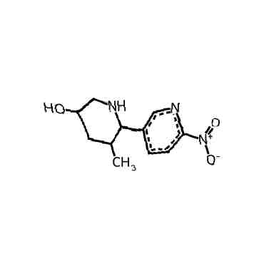 CC1CC(O)CNC1c1ccc([N+](=O)[O-])nc1